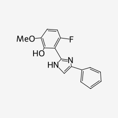 COc1ccc(F)c(-c2nc(-c3ccccc3)c[nH]2)c1O